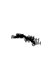 O=C(O)CCC(NC(=S)CN(O)C(=O)CCCc1ccc(-n2cc(CCCF)nn2)cc1)C(=O)O